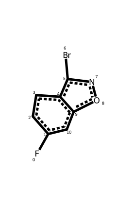 Fc1ccc2c(Br)noc2c1